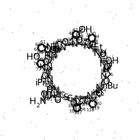 CCCC[C@H]1C(=O)N2CCC[C@@H]2C(=O)N[C@@H](CO)C(=O)N[C@@H](CC)C(=O)N(C)[C@@H](Cc2ccccc2)C(=O)N[C@@H](Cc2ccc(O)cc2)C(=O)N2CCCC[C@@H]2C(=O)N[C@@H](Cc2c[nH]c3ccccc23)C(=O)N[C@@H](Cc2ccc(O)cc2)C(=O)N[C@@H](CC(C)C)C(=O)N[C@H](C(=O)NCC(N)=O)CSCC(=O)N[C@@H](Cc2ccccc2)C(=O)N(C)[C@@H](Cc2ccccc2)C(=O)N1C